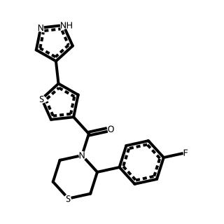 O=C(c1csc(-c2cn[nH]c2)c1)N1CCSCC1c1ccc(F)cc1